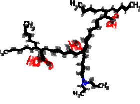 CCCCCC(CCCCC)C(CCCCCCC(O)(CCCCCCC(C(=O)O)C(CCCCC)CCCCC)CCCCN(CCC)CCC)C(=O)O